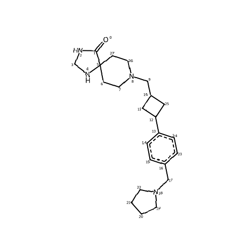 O=C1NCNC12CCN(CC1CC(c3ccc(CN4CCCC4)cc3)C1)CC2